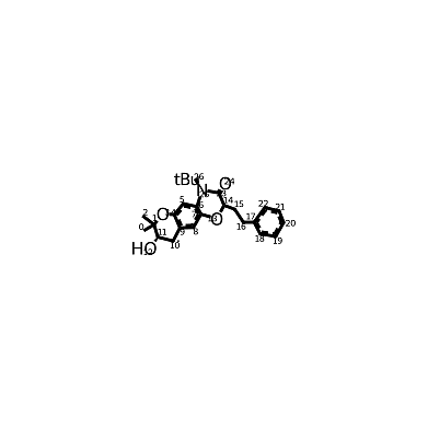 CC1(C)Oc2cc3c(cc2[CH][C@H]1O)OC(CCc1ccccc1)C(=O)N3C(C)(C)C